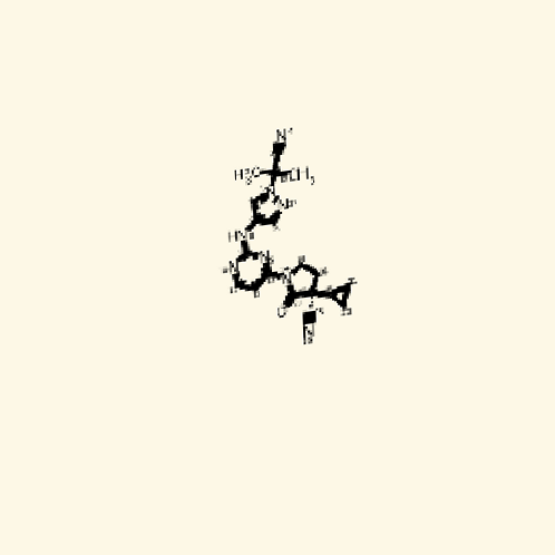 CC(C)(C#N)n1cc(Nc2nccc(N3CC[C@@](C#N)(C4CC4)C3=O)n2)cn1